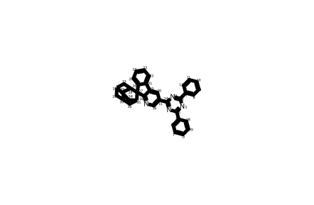 c1ccc(-c2nc(-c3ccccc3)nc(-c3cnc4c(c3)-c3ccccc3C43C4CC5CC(C4)CC3C5)n2)cc1